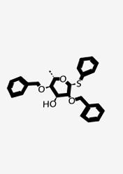 C[C@@H]1O[C@H](Sc2ccccc2)[C@@H](OCc2ccccc2)[C@H](O)[C@@H]1OCc1ccccc1